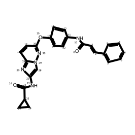 O=C(C=Cc1ccccc1)Nc1ccc(Oc2ccc3nc(NC(=O)C4CC4)cn3n2)cc1